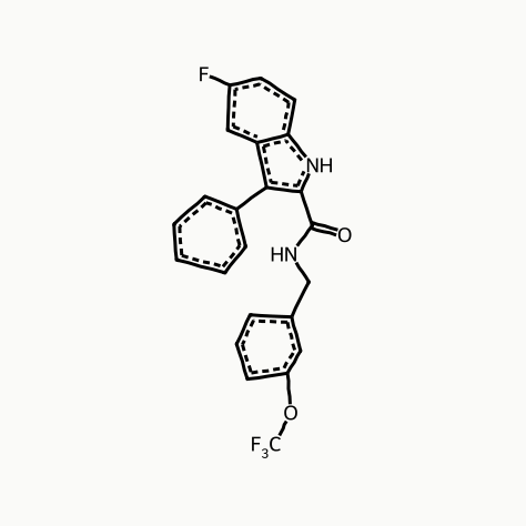 O=C(NCc1cccc(OC(F)(F)F)c1)c1[nH]c2ccc(F)cc2c1-c1ccccc1